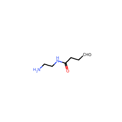 NCCNC(=O)CCC=O